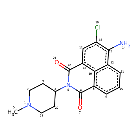 CN1CCC(N2C(=O)c3cccc4c(N)c(Cl)cc(c34)C2=O)CC1